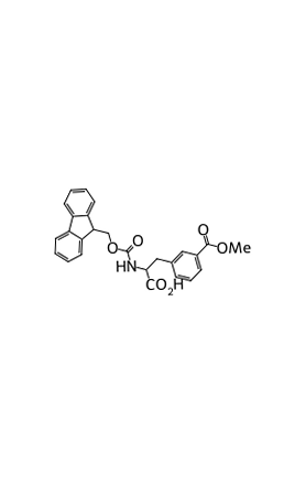 COC(=O)c1cccc(CC(NC(=O)OCC2c3ccccc3-c3ccccc32)C(=O)O)c1